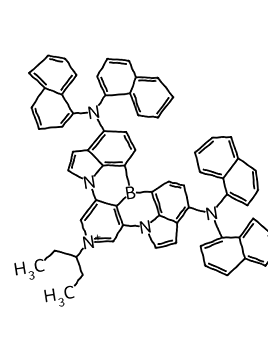 CCC(CC)[n+]1cc2c3c(c1)-n1ccc4c(N(c5cccc6ccccc56)c5cccc6ccccc56)ccc(c41)B3c1ccc(N(c3cccc4ccccc34)c3cccc4ccccc34)c3ccn-2c13